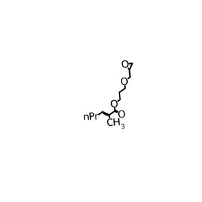 CCCC=C(C)C(=O)OCCCOCC1CO1